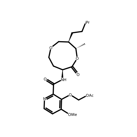 COc1ccnc(C(=O)N[C@H]2CCOC[C@@H](CCC(C)C)[C@H](C)OC2=O)c1OCOC(C)=O